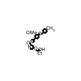 CCC(O)COc1ccnc(C(=O)N2CC(c3ccc(OCc4ccc(C)cc4)c(OC)c3)C2)c1